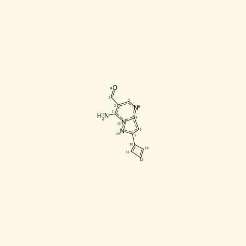 Nc1c(C=O)cnc2cc(C3=CC=C3)nn12